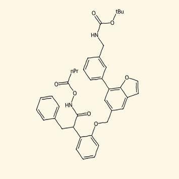 CCCC(=O)ONC(=O)C(Cc1ccccc1)c1ccccc1OCc1cc(-c2cccc(CNC(=O)OC(C)(C)C)c2)c2occc2c1